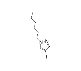 CCCCCCn1cc(I)cn1